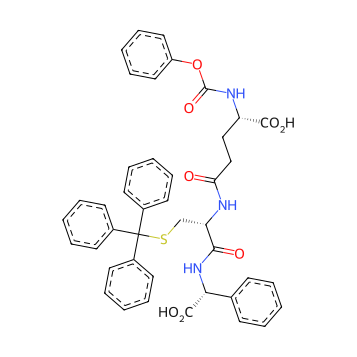 O=C(CC[C@H](NC(=O)Oc1ccccc1)C(=O)O)N[C@@H](CSC(c1ccccc1)(c1ccccc1)c1ccccc1)C(=O)N[C@@H](C(=O)O)c1ccccc1